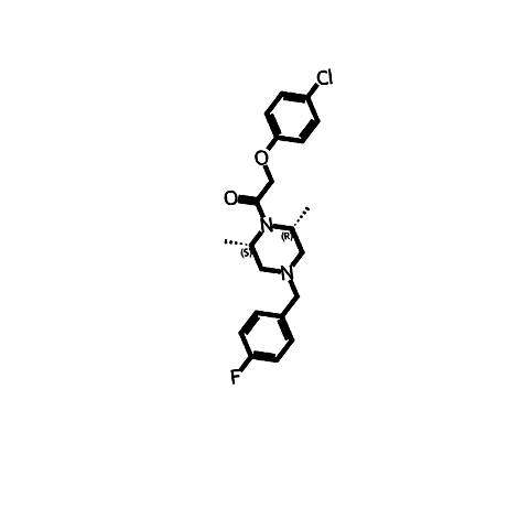 C[C@@H]1CN(Cc2ccc(F)cc2)C[C@H](C)N1C(=O)COc1ccc(Cl)cc1